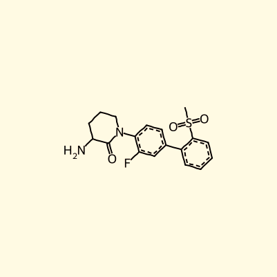 CS(=O)(=O)c1ccccc1-c1ccc(N2CCCC(N)C2=O)c(F)c1